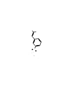 CC(=Cc1cccc(S(=O)(=O)NC(C)(C)C)c1)C(=O)O